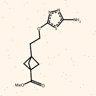 COC(=O)C12CC(CCOc3nnc(N)s3)(C1)C2